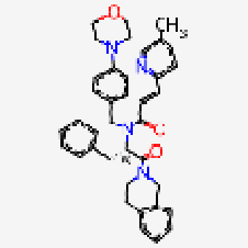 Cc1ccc(C=CC(=O)N(Cc2ccc(N3CCOCC3)cc2)[C@@H](Cc2ccccc2)C(=O)N2CCc3ccccc3C2)nc1